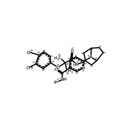 CC(C)NC(=O)c1ccc(N2C3CCC2CC(NC(=O)C(C)(C)Oc2ccc(Cl)c(Cl)c2)C3)nc1